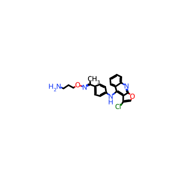 CC(=NOCCCN)c1ccc(Nc2c3ccccc3nc3occ(Cl)c23)cc1